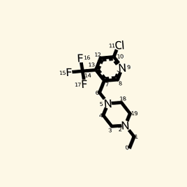 CCN1CCN(Cc2cnc(Cl)cc2C(F)(F)F)CC1